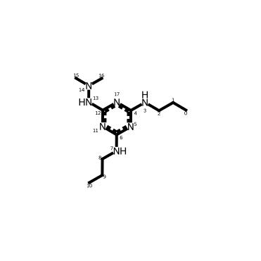 CCCNc1nc(NCCC)nc(NN(C)C)n1